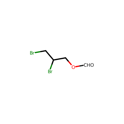 O=COCC(Br)CBr